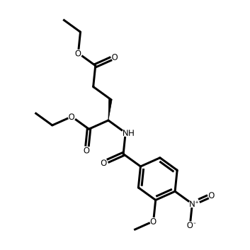 CCOC(=O)CC[C@@H](NC(=O)c1ccc([N+](=O)[O-])c(OC)c1)C(=O)OCC